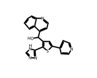 OC(c1cc(-c2ccncc2)sc1-c1nnc[nH]1)c1ccnc2ccccc12